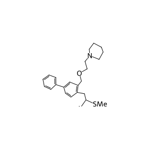 [CH2]C(Cc1ccc(-c2ccccc2)cc1COCCN1CCCCC1)SC